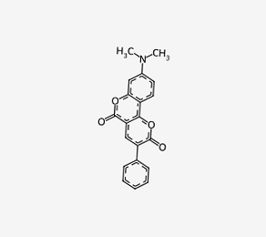 CN(C)c1ccc2c(c1)oc(=O)c1cc(-c3ccccc3)c(=O)oc12